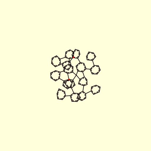 c1ccc(-c2ccccc2-c2ccc3c(c2)C2(c4cc(-c5ccccc5-c5ccccc5)ccc4-c4c(-c5ccccc5-c5ccccc5)cc(-c5ccccc5-c5ccccc5)cc42)c2cc(-c4ccccc4-c4ccccc4)cc(-c4ccccc4-c4ccccc4)c2-3)cc1